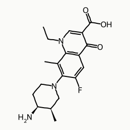 CCn1cc(C(=O)O)c(=O)c2cc(F)c(N3CC[C@H](N)[C@H](C)C3)c(C)c21